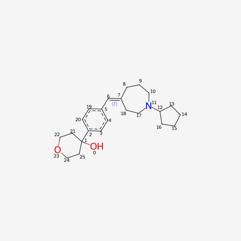 OC1(c2ccc(/C=C3/CCCN(C4CCCC4)CC3)cc2)CCOCC1